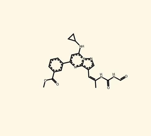 COC(=O)c1cccc(-c2cc(NC3CC3)n3ncc(/C=C(/C)NC(=O)NC=O)c3n2)c1